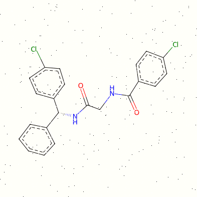 O=C(CNC(=O)c1ccc(Cl)cc1)N[C@H](c1ccccc1)c1ccc(Cl)cc1